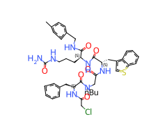 CCCCN(CC(=O)N[C@@H](Cc1csc2ccccc12)C(=O)N[C@@H](CCCNC(N)=O)C(=O)NCc1ccc(C)cc1)C(=O)[C@H](Cc1ccccc1)NC(=O)CCl